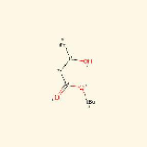 CC(C)C(O)CC(=O)OC(C)(C)C